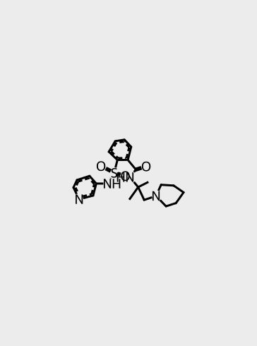 CC(C)(CN1CCCCC1)NC(=O)c1ccccc1S(=O)(=O)Nc1cccnc1